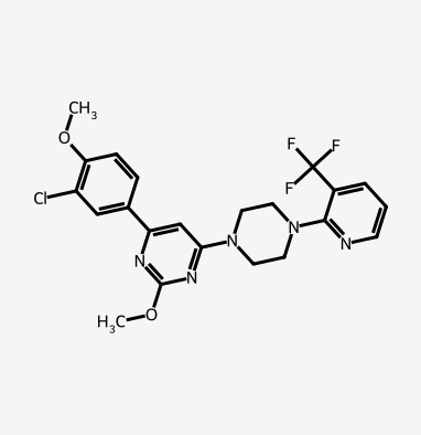 COc1nc(-c2ccc(OC)c(Cl)c2)cc(N2CCN(c3ncccc3C(F)(F)F)CC2)n1